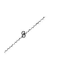 CCCCCC/C=C/CCCCCCCCCC(=O)OCCCCCCCCCCCCCCCC